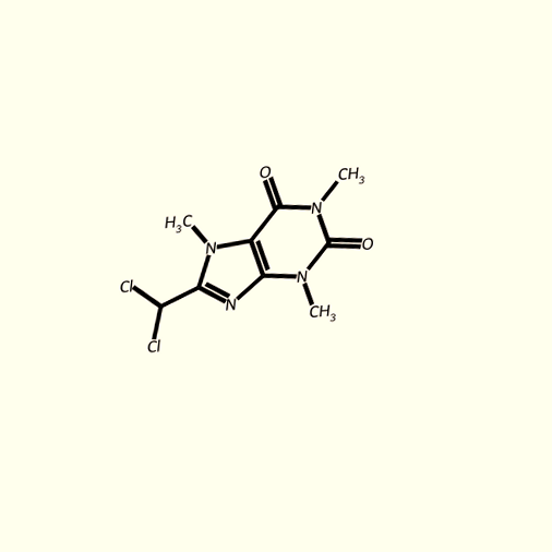 Cn1c(=O)c2c(nc(C(Cl)Cl)n2C)n(C)c1=O